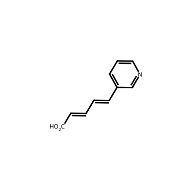 O=C(O)C=CC=Cc1cccnc1